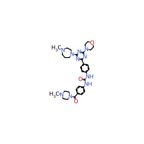 CN1CCN(C(=O)c2ccc(NC(=O)Nc3ccc(-c4nc(N5CCOCC5)nc(N5CCCN(C)CC5)n4)cc3)cc2)CC1